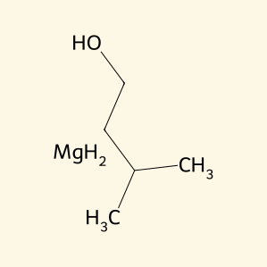 CC(C)CCO.[MgH2]